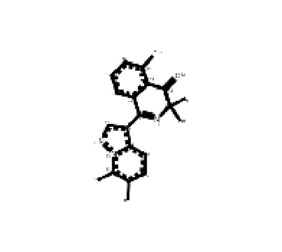 Cc1ccc2c(C3=NC(C)(C)C(=O)c4c(F)cccc43)cnn2c1C